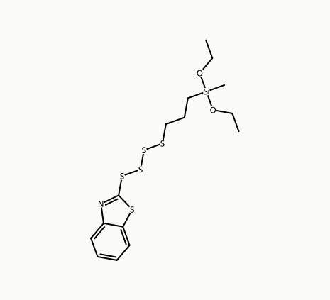 CCO[Si](C)(CCCSSSSc1nc2ccccc2s1)OCC